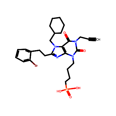 C#CCn1c(=O)c2c(nc(CCc3ccccc3Br)n2CC2CCCCC2)n(CCCCP(=O)(O)O)c1=O